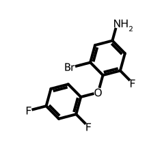 Nc1cc(F)c(Oc2ccc(F)cc2F)c(Br)c1